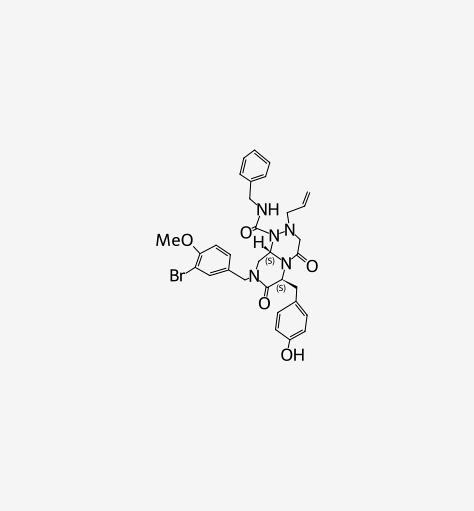 C=CCN1CC(=O)N2[C@@H](Cc3ccc(O)cc3)C(=O)N(Cc3ccc(OC)c(Br)c3)C[C@@H]2N1C(=O)NCc1ccccc1